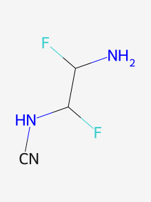 N#CNC(F)C(N)F